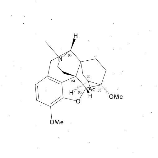 COc1ccc2c3c1O[C@H]1[C@]4(OC)CCC5(C[C@@H]4C(C)=O)[C@@H](C2)N(C)CC[C@]315